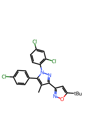 Cc1c(-c2cc(C(C)(C)C)on2)nn(-c2ccc(Cl)cc2Cl)c1-c1ccc(Cl)cc1